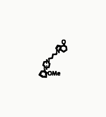 COc1ccccc1N1CCN(CCCCn2ccc3c2CCCC3=O)CC1